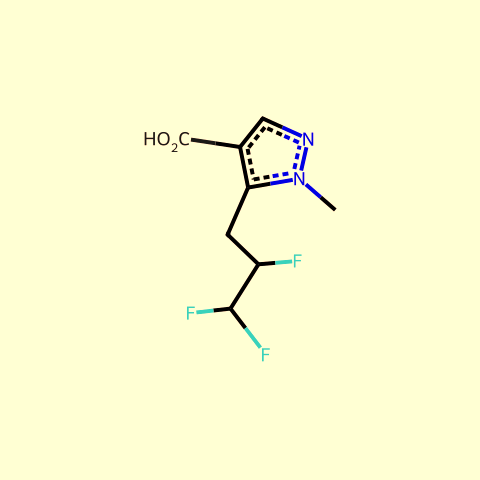 Cn1ncc(C(=O)O)c1CC(F)C(F)F